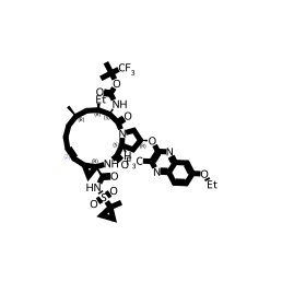 CCOc1ccc2nc(C(F)(F)F)c(O[C@@H]3C[C@H]4C(=O)N[C@]5(C(=O)NS(=O)(=O)C6(C)CC6)CC5/C=C\CC[C@@H](C)C[C@@H](CC)[C@H](NC(=O)OC(C)(C)C(F)(F)F)C(=O)N4C3)nc2c1